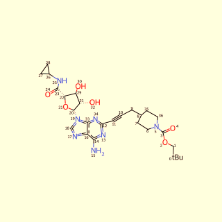 CC(C)(C)COC(=O)N1CCC(CC#Cc2nc(N)c3ncn([C@@H]4O[C@H](C(=O)NC5CC5)C(O)[C@@H]4O)c3n2)CC1